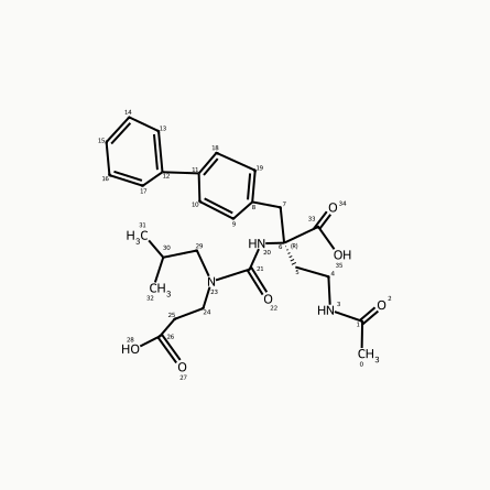 CC(=O)NCC[C@@](Cc1ccc(-c2ccccc2)cc1)(NC(=O)N(CCC(=O)O)CC(C)C)C(=O)O